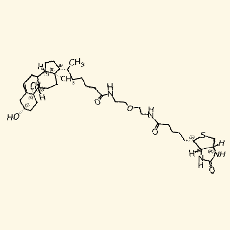 CC(CCCCC(=O)NCCOCCNC(=O)CCCC[C@@H]1SC[C@@H]2NC(=O)N[C@@H]21)[C@H]1CC[C@H]2C3CC=C4C[C@@H](O)CC[C@]4(C)[C@H]3CC[C@]12C